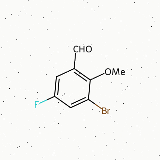 COc1c(Br)cc(F)cc1C=O